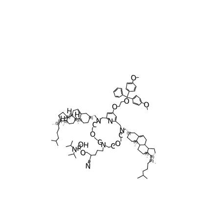 COc1ccc(C(OCCOc2cc3nc(c2)CN(C[C@H]2CC[C@@]4(C)C(=CCC5C4CC[C@@]4(C)C5CC[C@@H]4[C@H](C)CCCC(C)C)C2)CCOCCN(CCCC(C#N)COP(O)N(C(C)C)C(C)C)CCOCCN(C[C@@H]2CC[C@]4(C)C(=CC[C@@H]5[C@H]6CC[C@H]([C@@H](C)CCCC(C)C)[C@]6(C)CC[C@H]54)C2)C3)(c2ccccc2)c2ccc(OC)cc2)cc1